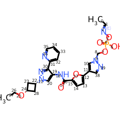 C/C=N/OP(=O)(O)OCn1cc(-c2ccc(C(=O)Nc3cn([C@H]4C[C@@H](OCC)C4)nc3-c3ccccn3)o2)cn1